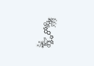 COS(=O)(=O)N[C@H](C(=O)N1CCC[C@H]1c1nc2ccc3cc(-c4ccc(-c5cnc([C@@H]6CCCN6C(=O)[C@@H](NS(C)(=O)=O)C(C)C)[nH]5)s4)ccc3c2[nH]1)C(C)C